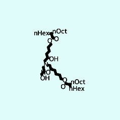 CCCCCCCCC(CCCCCC)C(=O)OCCCC[C@@H](O)CN(CCCO)C[C@@H](O)CCCCOC(=O)C(CCCCCC)CCCCCCCC